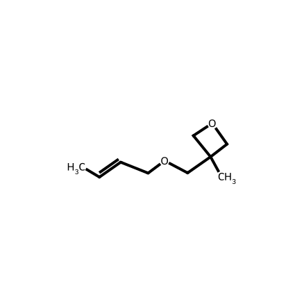 CC=CCOCC1(C)COC1